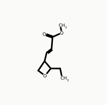 CCC1OCC1C=CC(=O)OC